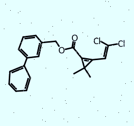 CC1(C)C(C=C(Cl)Cl)=C1C(=O)OCc1cccc(-c2ccccc2)c1